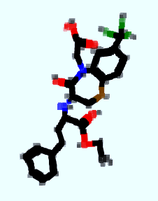 CCOC(=O)C(CCc1ccccc1)N[C@H]1CSc2ccc(C(F)(F)F)cc2N(CC(=O)O)C1=O